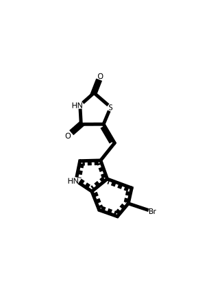 O=C1NC(=O)C(=Cc2c[nH]c3ccc(Br)cc23)S1